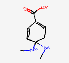 CNC1(NC)C=CC(C(=O)O)=CC1